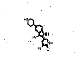 CCc1cc(-c2[nH]c3ccc(C4CCNCC4)cc3c2C(C)C)cn(C)c1=O